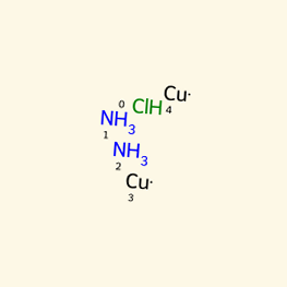 Cl.N.N.[Cu].[Cu]